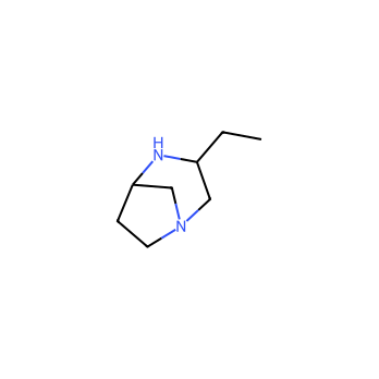 CCC1CN2CCC(C2)N1